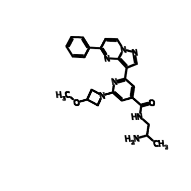 COC1CN(c2cc(C(=O)NCC(C)N)cc(-c3cnn4ccc(-c5ccccc5)nc34)n2)C1